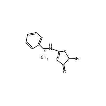 CC(C)C1SC(N[C@H](C)c2ccccc2)=NC1=O